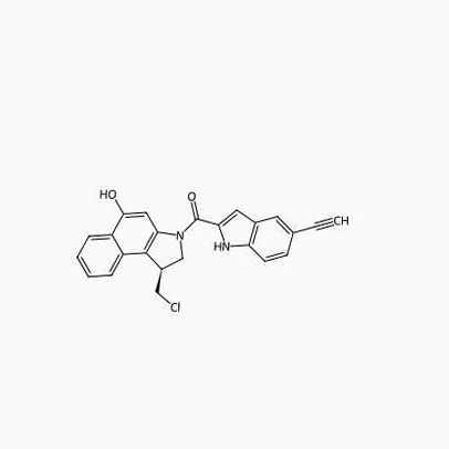 C#Cc1ccc2[nH]c(C(=O)N3C[C@@H](CCl)c4c3cc(O)c3ccccc43)cc2c1